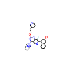 Oc1cc(-c2ncc3c(N4CC5CCC(C4)N5)nc(OCCc4cccnc4)nc3c2F)c2ccccc2c1